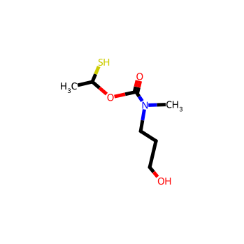 CC(S)OC(=O)N(C)CCCO